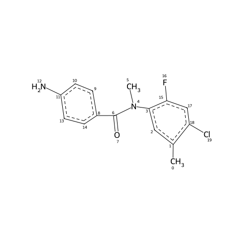 Cc1cc(N(C)C(=O)c2ccc(N)cc2)c(F)cc1Cl